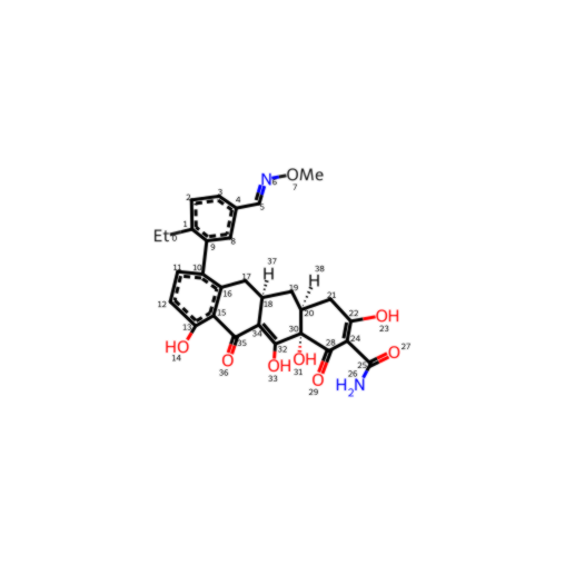 CCc1ccc(/C=N/OC)cc1-c1ccc(O)c2c1C[C@H]1C[C@H]3CC(O)=C(C(N)=O)C(=O)[C@@]3(O)C(O)=C1C2=O